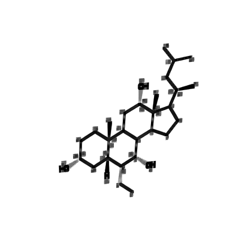 CC[C@H]1[C@@H](O)C2C3CCC([C@H](C)CC(C)C)[C@@]3(C)[C@@H](O)CC2[C@@]2(C)CC[C@@H](O)C[C@@H]12